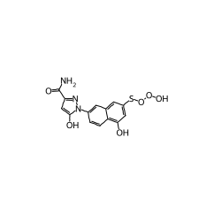 NC(=O)c1cc(O)n(-c2ccc3c(O)cc(SOOO)cc3c2)n1